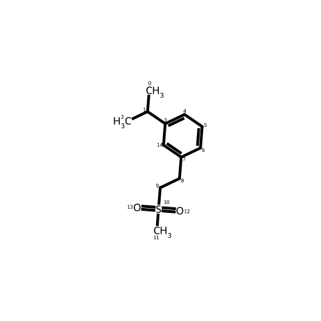 CC(C)c1cccc(CCS(C)(=O)=O)c1